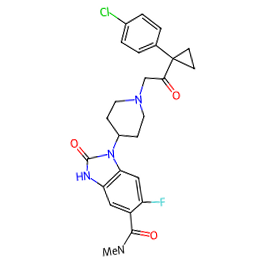 CNC(=O)c1cc2[nH]c(=O)n(C3CCN(CC(=O)C4(c5ccc(Cl)cc5)CC4)CC3)c2cc1F